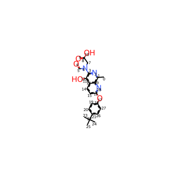 Cc1nc(N(C=O)CC(=O)O)c(O)c2ccc(Oc3ccc(C(C)(C)C)cc3)nc12